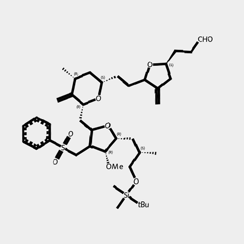 C=C1C[C@H](CCC=O)OC1CC[C@H]1C[C@@H](C)C(=C)[C@@H](CC2O[C@H](C[C@H](C)CO[Si](C)(C)C(C)(C)C)[C@H](OC)C2CS(=O)(=O)c2ccccc2)O1